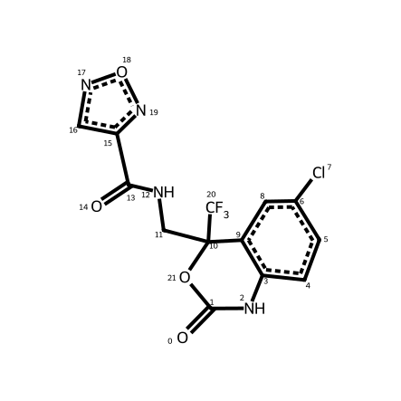 O=C1Nc2ccc(Cl)cc2C(CNC(=O)c2cnon2)(C(F)(F)F)O1